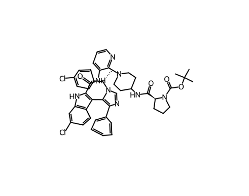 C[C@@H](c1ccc(Cl)cc1)n1cnc(-c2ccccc2)c1-c1c(C(=O)Nc2cccnc2N2CCC(NC(=O)[C@@H]3CCCN3C(=O)OC(C)(C)C)CC2)[nH]c2cc(Cl)ccc12